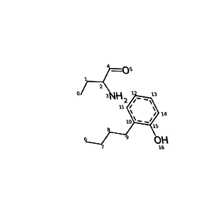 CCC(N)C=O.CCCCc1ccccc1O